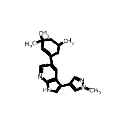 CC1CC(c2cnc3[nH]cc(-c4cnn(C)c4)c3c2)=CC(C)(C)C1